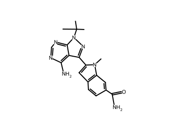 Cn1c(-c2nn(C(C)(C)C)c3ncnc(N)c23)cc2ccc(C(N)=O)cc21